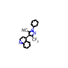 N#Cc1c(-c2ccnc3ccccc23)c(C(F)(F)F)nn1-c1ccccc1